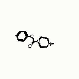 CN1CCN(C(=O)Oc2ccccc2)CC1